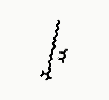 CC(=O)CC(=O)O.CCCCCCCCCCCCCCCCC=[CH][Al]([CH](C)C)[CH](C)C